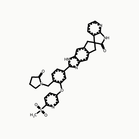 CS(=O)(=O)c1ccc(Oc2cc(-c3nc4cc5c(cc4[nH]3)CC3(C5)C(=O)Nc4ncccc43)ccc2CN2CCCC2=O)cn1